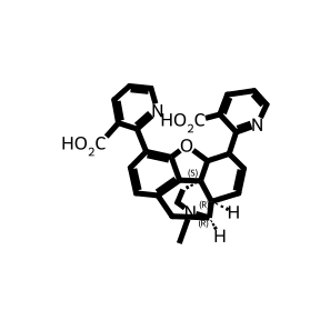 CN1CC[C@]23c4c5ccc(-c6ncccc6C(=O)O)c4OC2C(c2ncccc2C(=O)O)C=C[C@H]3[C@H]1C5